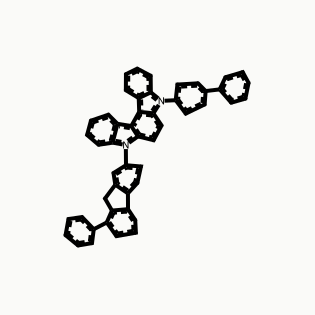 c1ccc(-c2ccc(-n3c4ccccc4c4c5c6ccccc6n(-c6ccc7c(c6)Cc6c(-c8ccccc8)cccc6-7)c5ccc43)cc2)cc1